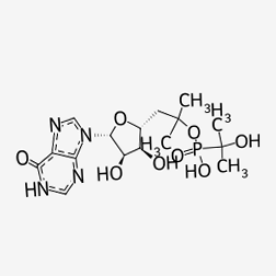 CC(C)(C[C@H]1O[C@@H](n2cnc3c(=O)[nH]cnc32)[C@H](O)[C@@H]1O)OP(=O)(O)C(C)(C)O